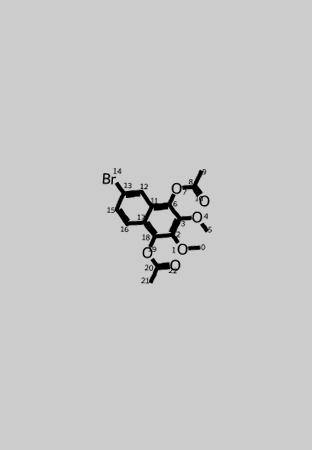 COc1c(OC)c(OC(C)=O)c2cc(Br)ccc2c1OC(C)=O